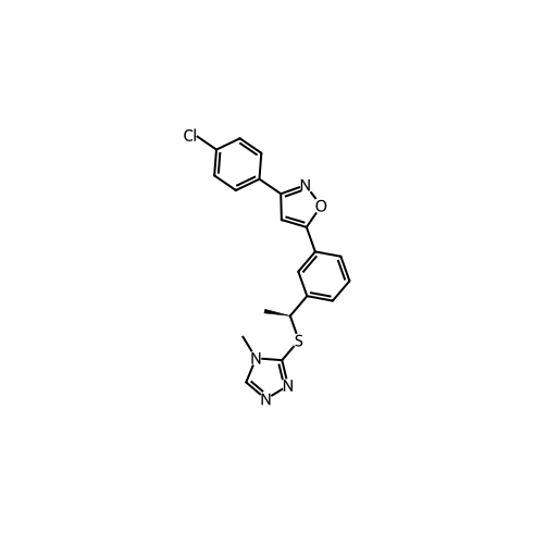 C[C@H](Sc1nncn1C)c1cccc(-c2cc(-c3ccc(Cl)cc3)no2)c1